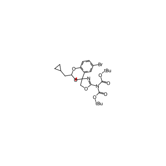 CC(C)(C)OC(=O)N(C(=O)OC(C)(C)C)C1=NC2(CO1)c1cc(Br)ccc1OC(CC1CC1)C21COC1